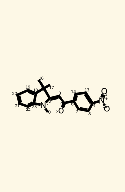 CN1C(=CC(=O)c2ccc([N+](=O)[O-])cc2)C(C)(C)c2ccccc21